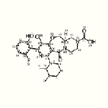 CC1CCCN(c2nc(-c3c(O)cccc3F)c(Cl)c3c2C(=O)N2CCN(C(=O)O)C[C@@H]2CO3)C1C